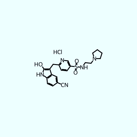 Cl.N#Cc1ccc2[nH]c(O)c(Cc3ccc(S(=O)(=O)NCCN4CCCC4)cn3)c2c1